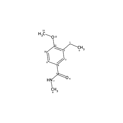 CCc1cc(C(=O)NC)ccc1OC